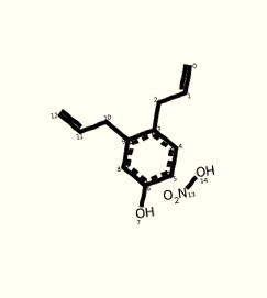 C=CCc1ccc(O)cc1CC=C.O=[N+]([O-])O